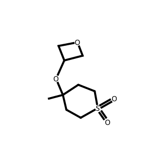 CC1(OC2COC2)CCS(=O)(=O)CC1